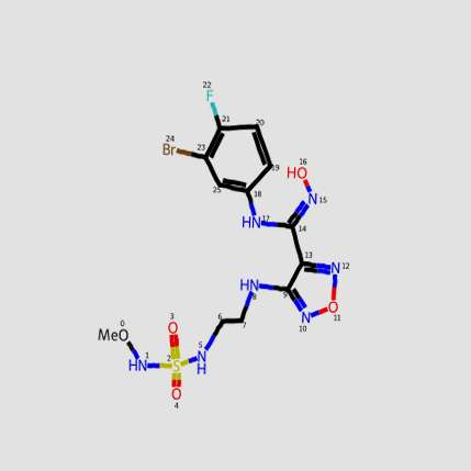 CONS(=O)(=O)NCCNc1nonc1/C(=N/O)Nc1ccc(F)c(Br)c1